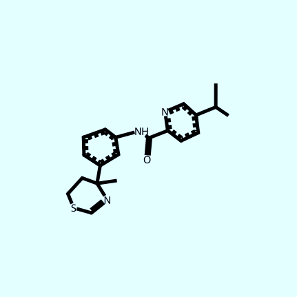 CC(C)c1ccc(C(=O)Nc2cccc(C3(C)CCSC=N3)c2)nc1